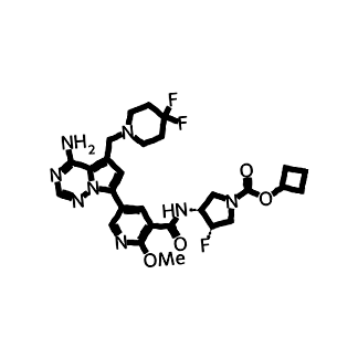 COc1ncc(-c2cc(CN3CCC(F)(F)CC3)c3c(N)ncnn23)cc1C(=O)N[C@@H]1CN(C(=O)OC2CCC2)C[C@@H]1F